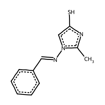 Cc1nc(S)cn1/N=C/c1ccccc1